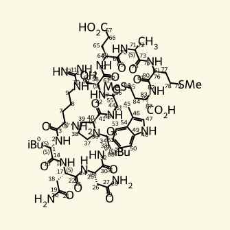 CC[C@H](C)[C@H](NC(=O)[C@@H](N)CCCNC(=N)N)C(=O)N[C@@H](CC(N)=O)C(=O)N[C@@H](CC(N)=O)C(=O)N[C@H](C(=O)N1CCC[C@H]1C(=O)N[C@@H](Cc1c[nH]c2ccccc12)C(=O)N[C@@H](CO)C(=O)N[C@@H](CCC(=O)O)C(=O)N[C@@H](C)C(=O)N[C@@H](CCSC)C(=O)N[C@@H](CCSC)C(=O)O)[C@@H](C)CC